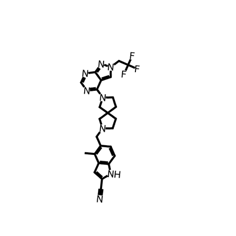 Cc1c(CN2CCC3(CCN(c4ncnc5nn(CC(F)(F)F)cc45)C3)C2)ccc2[nH]c(C#N)cc12